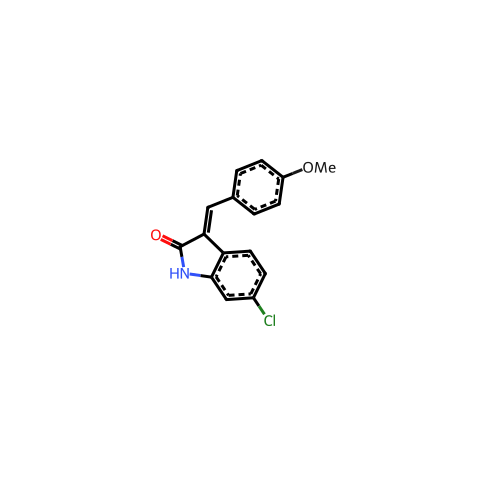 COc1ccc(/C=C2/C(=O)Nc3cc(Cl)ccc32)cc1